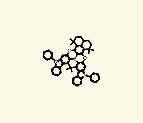 CC1(C)CCC2(C)CCC(C)(C)c3c4c5c(c1c32)Oc1cc2c(c3c1B5c1c(cc5c(c1C3(C)C)c1ccccc1n5-c1ccccc1)O4)c1ccccc1n2-c1ccccc1